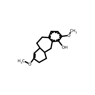 COC1=CC2CCc3ccc(OC)c(O)c3CC2CC1